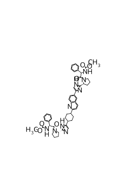 COC(=O)N[C@@H](C(=O)N1CCC[C@H]1c1nc(-c2ccc3nc(C4CCC(c5cnc([C@@H]6CCCN6C(=O)[C@H](NC(=O)OC)c6ccccc6)[nH]5)CC4)ccc3c2)c[nH]1)c1ccccc1